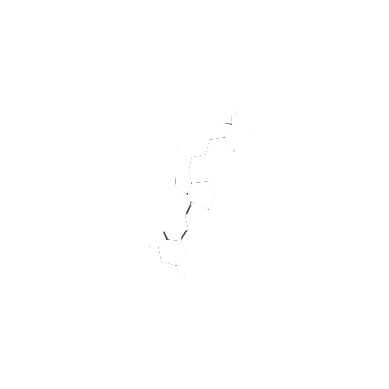 C=C1/C(=C\C=C2/CCC[C@]3(C)[C@@H]([C@H](C)CCC(O)C(C)(C)O)CC[C@@H]23)C[C@@H](O)C[C@@H]1O